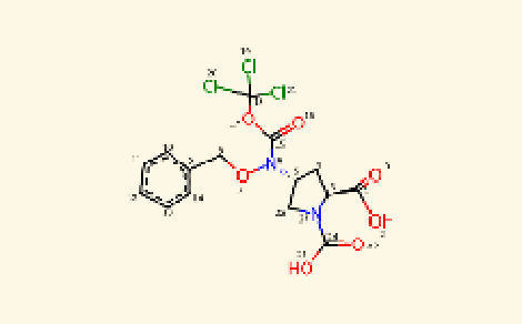 O=C(O)[C@@H]1C[C@@H](N(OCc2ccccc2)C(=O)OC(Cl)(Cl)Cl)CN1C(=O)O